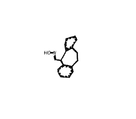 ON=CC1c2ccccc2CCc2ccccc21